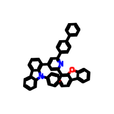 c1ccc(-c2ccc(-c3cc(-c4cccc5c6ccccc6n(-c6ccccc6)c45)cc(-c4cccc5c4oc4ccccc45)n3)cc2)cc1